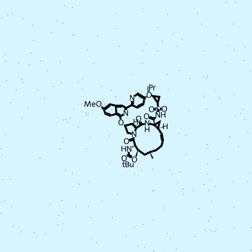 COc1ccc2c(O[C@@H]3C[C@H]4C(=O)N[C@]5(C(=O)NS(=O)(=O)C6CC6)C[C@H]5/C=C\CC[C@@H](C)C[C@@H](C)[C@H](NC(=O)OC(C)(C)C)C(=O)N4C3)nc(-c3ccc(OC(C)C)cn3)cc2c1